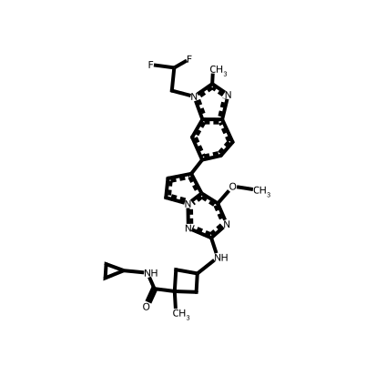 COc1nc(NC2CC(C)(C(=O)NC3CC3)C2)nn2ccc(-c3ccc4nc(C)n(CC(F)F)c4c3)c12